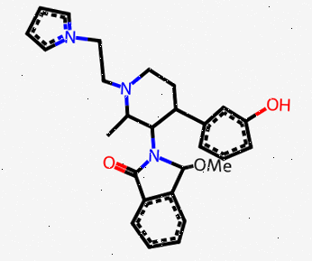 COC1c2ccccc2C(=O)N1C1C(c2cccc(O)c2)CCN(CCn2cccc2)C1C